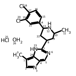 Cc1cnc2cnc(C3CC(C)NC(c4ccc(Cl)c(Cl)c4)C3)[nH]c1-2.Cl.O